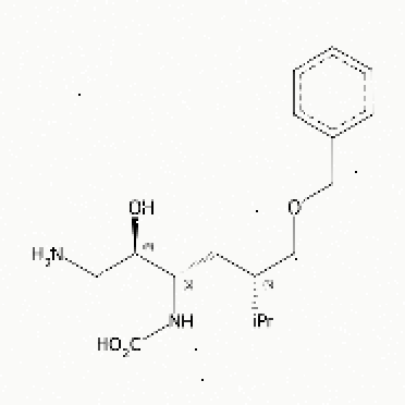 CC(C)[C@@H](COCc1ccccc1)C[C@H](NC(=O)O)[C@H](O)CN